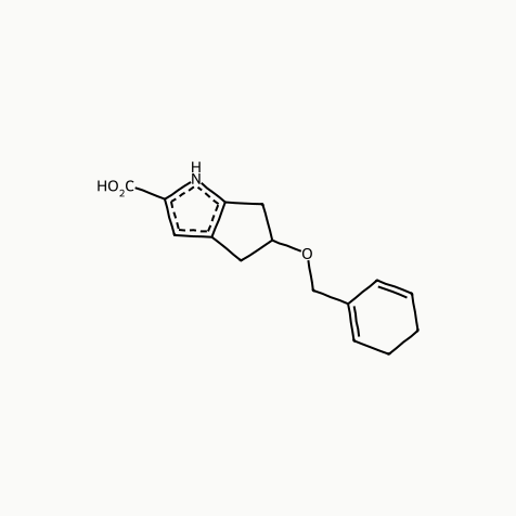 O=C(O)c1cc2c([nH]1)CC(OCC1=CCCC=C1)C2